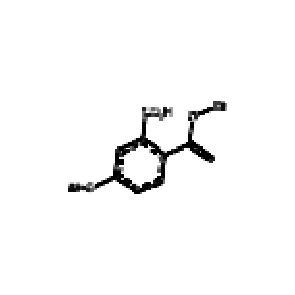 C=C(OCC)c1ccc(OC)cc1C(=O)O